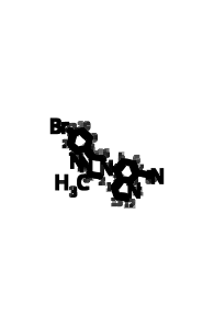 C[C@@H]1CN(c2ccc(C#N)c3ncccc23)Cc2c3ccc(Br)cc3nn21